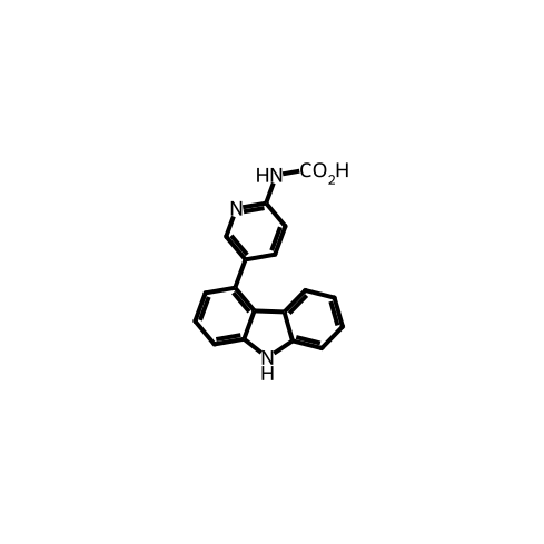 O=C(O)Nc1ccc(-c2cccc3[nH]c4ccccc4c23)cn1